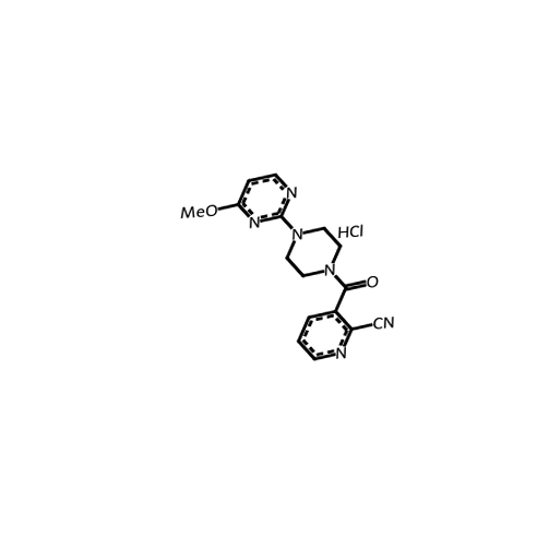 COc1ccnc(N2CCN(C(=O)c3cccnc3C#N)CC2)n1.Cl